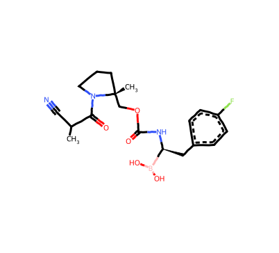 CC(C#N)C(=O)N1CCC[C@]1(C)COC(=O)N[C@@H](Cc1ccc(F)cc1)B(O)O